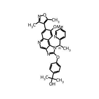 COc1cc2c(cc1-c1c(C)noc1C)ncc1nc(Oc3ccc(C(C)(C)O)cc3)n([C@H](C)c3ccccn3)c12